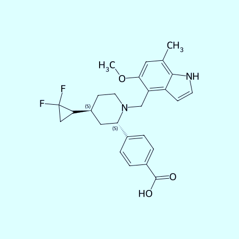 COc1cc(C)c2[nH]ccc2c1CN1CC[C@H](C2CC2(F)F)C[C@H]1c1ccc(C(=O)O)cc1